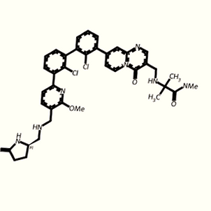 CNC(=O)C(C)(C)NCc1cnc2cc(-c3cccc(-c4cccc(-c5ccc(CNC[C@H]6CCC(=O)N6)c(OC)n5)c4Cl)c3Cl)ccn2c1=O